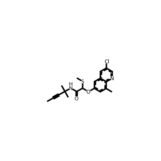 CC#CC(C)(C)NC(=O)C(Oc1cc(C)c2ncc(Cl)cc2c1)SC